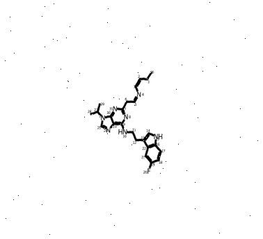 CC/C=C\N=C/Cc1nc(NCCc2c[nH]c3ccc(F)cc23)c2ncn(C(C)C)c2n1